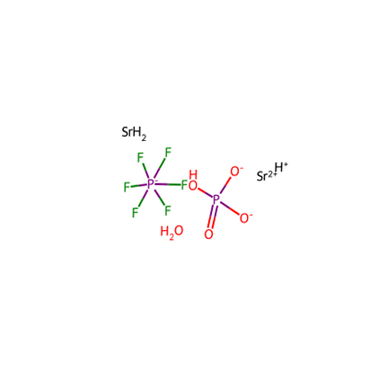 F[P-](F)(F)(F)(F)F.O.O=P([O-])([O-])O.[H+].[Sr+2].[SrH2]